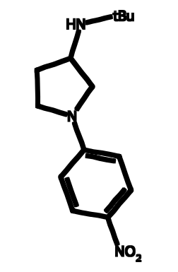 CC(C)(C)NC1CCN(c2ccc([N+](=O)[O-])cc2)C1